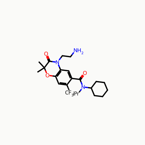 CC(C)N(C(=O)c1cc2c(cc1C(F)(F)F)OC(C)(C)C(=O)N2CCN)C1CCCCC1